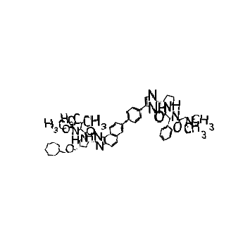 COC(=O)N[C@H](C(=O)N1C[C@@H](COCC2CCCCCC2)C[C@H]1c1nc2ccc3cc(-c4ccc(-c5cnc([C@@H]6CCCN6C(=O)[C@H](NC(=O)CN(C)C)c6ccccc6)[nH]5)cc4)ccc3c2[nH]1)C(C)C